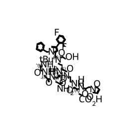 C[C@H](N)C(=O)N[C@@H](C)C(=O)N[C@@H](CC(N)=O)C(=O)N[C@@H](CCN(C(=O)CO)[C@@H](c1cc(-c2cc(F)ccc2F)cn1Cc1ccccc1)C(C)(C)C)C(=O)NCCNC(=O)[C@@H](CCC(=O)O)NC(=O)CN1C(=O)C=CC1=O